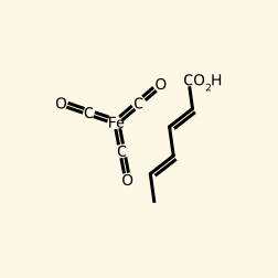 CC=CC=CC(=O)O.O=[C]=[Fe](=[C]=O)=[C]=O